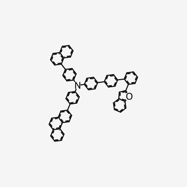 c1ccc(-c2cc3ccccc3o2)c(-c2ccc(-c3ccc(N(c4ccc(-c5ccc6c(ccc7ccccc76)c5)cc4)c4ccc(-c5cccc6ccccc56)cc4)cc3)cc2)c1